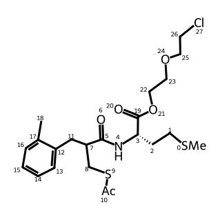 CSCC[C@H](NC(=O)C(CSC(C)=O)Cc1ccccc1C)C(=O)OCCOCCCl